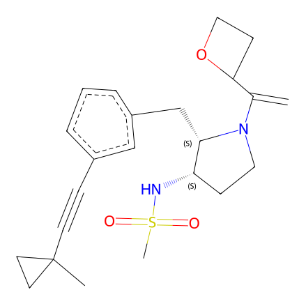 C=C(C1CCO1)N1CC[C@H](NS(C)(=O)=O)[C@@H]1Cc1cccc(C#CC2(C)CC2)c1